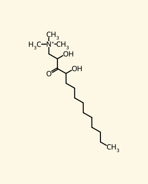 CCCCCCCCCCC(O)C(=O)C(O)C[N+](C)(C)C